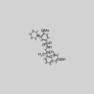 COc1ccc(S(=O)(=O)NCC(C)(C)c2cccc3cc(O)ccc23)cc1N1CCCCC1